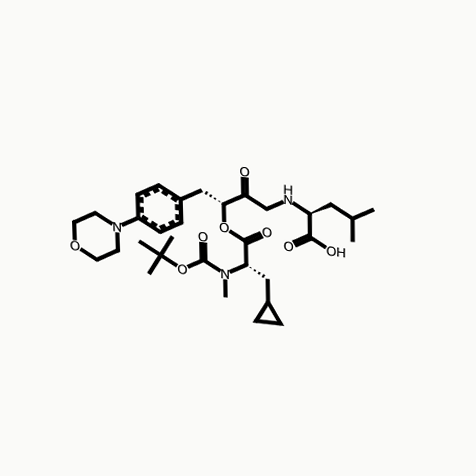 CC(C)C[C@H](NCC(=O)[C@@H](Cc1ccc(N2CCOCC2)cc1)OC(=O)[C@H](CC1CC1)N(C)C(=O)OC(C)(C)C)C(=O)O